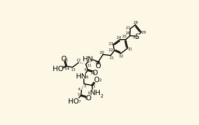 NC(=O)[C@H](CC(=O)O)NC(=O)[C@H](CCC(=O)O)NC(=O)CCc1ccc(C2CC=CS2)cc1